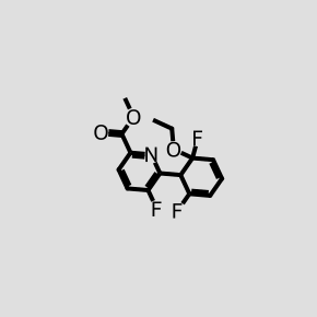 CCOC1(F)C=CC=C(F)C1c1nc(C(=O)OC)ccc1F